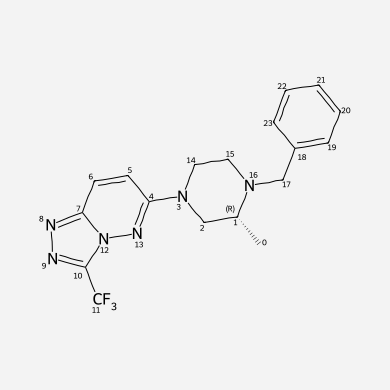 C[C@@H]1CN(c2ccc3nnc(C(F)(F)F)n3n2)CCN1Cc1ccccc1